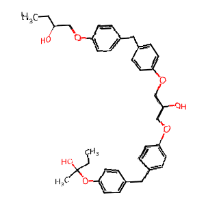 CCC(O)COc1ccc(Cc2ccc(OCC(O)COc3ccc(Cc4ccc(OC(C)(O)CC)cc4)cc3)cc2)cc1